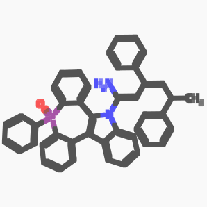 CC(/C=C(\C=C(/N)n1c2c(c3ccccc31)-c1ccccc1P(=O)(c1ccccc1)c1ccccc1-2)c1ccccc1)c1ccccc1